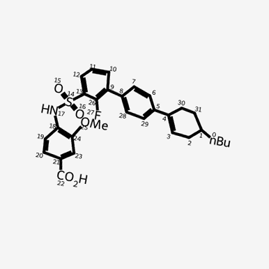 CCCCC1CC=C(c2ccc(-c3cccc(S(=O)(=O)Nc4ccc(C(=O)O)cc4OC)c3F)cc2)CC1